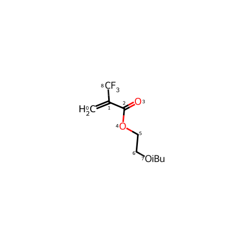 C=C(C(=O)OCCOCC(C)C)C(F)(F)F